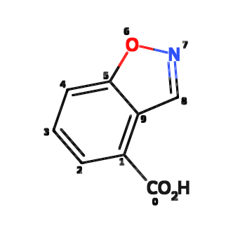 O=C(O)c1cccc2oncc12